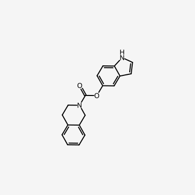 O=C(Oc1ccc2[nH]ccc2c1)N1CCc2ccccc2C1